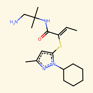 C/C=C(\Sc1cc(C)nn1C1CCCCC1)C(=O)NC(C)(C)CN